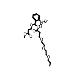 CCCOCCOCCOCCC(=O)OC(OCCC(=O)OC)c1ccccc1[N+](=O)[O-]